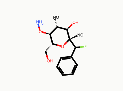 NO[C@H]1[C@H](N=O)[C@@H](O)[C@](N=O)(C(F)c2ccccc2)O[C@@H]1CO